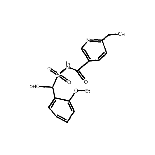 CCOc1ccccc1C(C=O)S(=O)(=O)NC(=O)c1ccc(CO)nc1